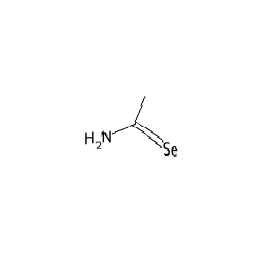 CC(N)=[Se]